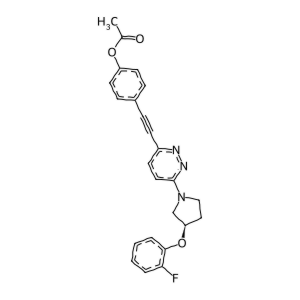 CC(=O)Oc1ccc(C#Cc2ccc(N3CC[C@@H](Oc4ccccc4F)C3)nn2)cc1